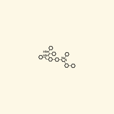 N=C(/C(=C1\NC(c2ccccc2)=Cc2ccc(-c3ccc(-c4cc(-c5cccc(-c6ccccc6)c5)nc(-c5ccccc5)n4)cc3)cc21)c1ccccc1)c1ccccc1